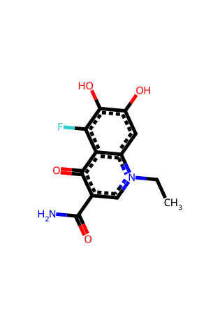 CCn1cc(C(N)=O)c(=O)c2c(F)c(O)c(O)cc21